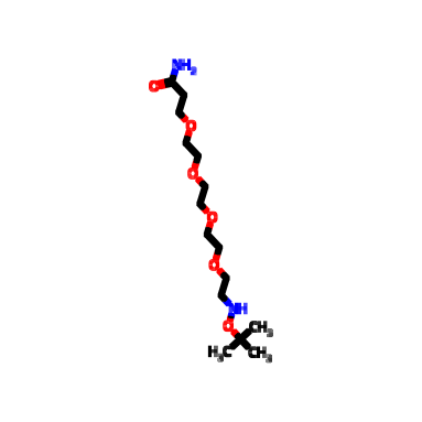 CC(C)(C)ONCCOCCOCCOCCOCCC(N)=O